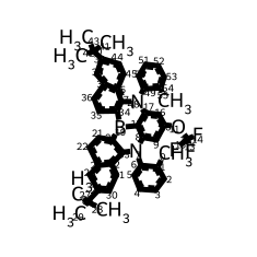 Cc1ccccc1N1c2cc(OC(F)(F)F)cc3c2B(c2ccc4cc(C(C)(C)C)ccc4c21)c1ccc2cc(C(C)(C)C)ccc2c1N3c1ccccc1C